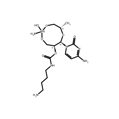 B[PH]1(O)OC[C@H](OC(=O)NCCCCN)[C@H](n2ccc(N)nc2=O)O[C@@H](C)CO1